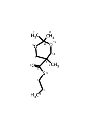 CCCSC(=O)C1(C)COC(C)(C)OC1